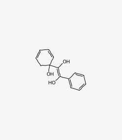 OC(=C(O)C1(O)C=CC=CC1)c1ccccc1